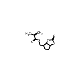 C=C(C)C(=O)OCC1CCC2OC(=O)OC12